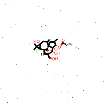 CCCC(=O)O[C@H]1C(C)=CC23C(=O)[C@@H](C=C(CO)[C@@H](O)[C@]12O)[C@]1(F)C(C)(C)[C@]1(O)CC3C